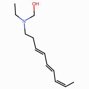 C\C=C/C=C/C=C/CCN(CC)CO